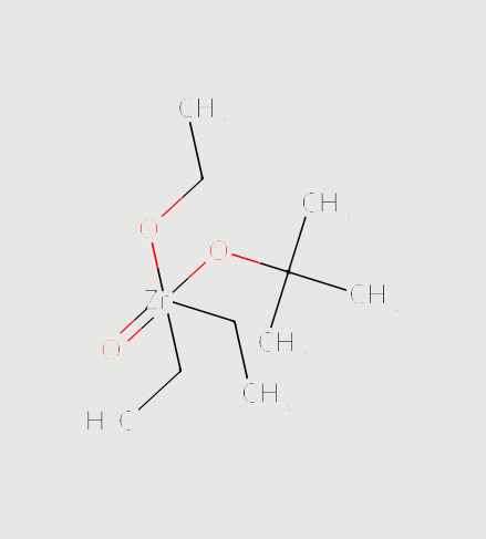 CC[O][Zr](=[O])([CH2]C)([CH2]C)[O]C(C)(C)C